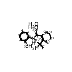 Bc1ccccc1NC(=O)C1=C(C(F)(F)F)OCCS1.O.O